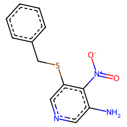 Nc1cncc(SCc2ccccc2)c1[N+](=O)[O-]